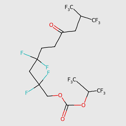 O=C(CCC(F)(F)CC(F)(F)COC(=O)OC(C(F)(F)F)C(F)(F)F)CC(C(F)(F)F)C(F)(F)F